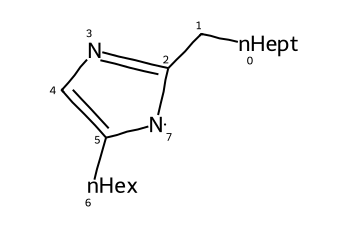 CCCCCCCCC1=NC=C(CCCCCC)[N]1